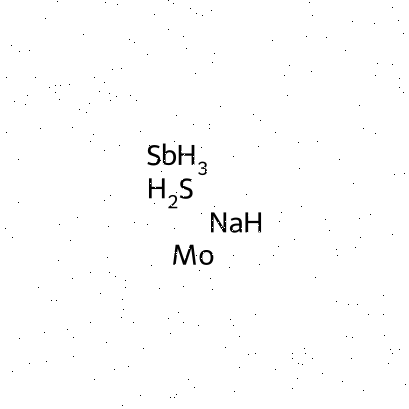 S.[Mo].[NaH].[SbH3]